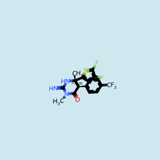 CN1C(=N)N[C@](C)(c2cc(F)c(F)s2)[C@@H](c2ccc(C(F)(F)F)cc2)C1=O